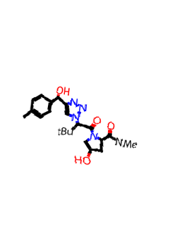 CNC(=O)C1CC(O)CN1C(=O)C(n1cc(C(O)c2ccc(C)cc2)nn1)C(C)(C)C